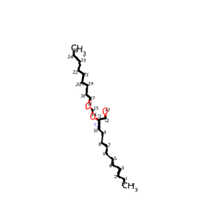 CCCCCCCCCC/C=C(\C=O)OCOCCCCCCCCC